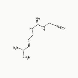 C#CCNC(=N)NCC=CC(N)C(=O)O